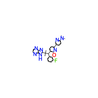 CN(C)c1ccc(-c2ccc3c(n2)Oc2c(F)cccc2C3C(C)(C)c2nc3nccnc3[nH]2)cn1